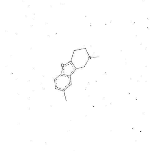 Cc1ccc2oc3c(c2c1)CN(C)CC3